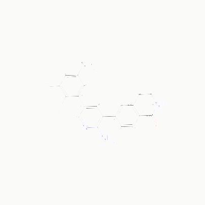 Nc1ncc(-c2cc([N+](=O)[O-])cc(F)c2F)cc1-c1ccc2c(c1)CCNC2=O